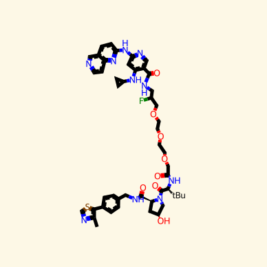 Cc1ncsc1-c1ccc(CNC(=O)[C@@H]2C[C@@H](O)CN2C(=O)[C@@H](NC(=O)COCCOCCOCC(F)CNC(=O)c2cnc(Nc3ccc4cnccc4n3)cc2NC2CC2)C(C)(C)C)cc1